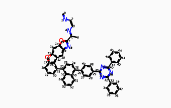 C=N/C=C\N=C(/C)c1nc2cc3c(cc2o1)oc1cccc(-c2ccc(-c4ccc(-c5nc(-c6ccccc6)nc(-c6ccccc6)n5)cc4)c4ccccc24)c13